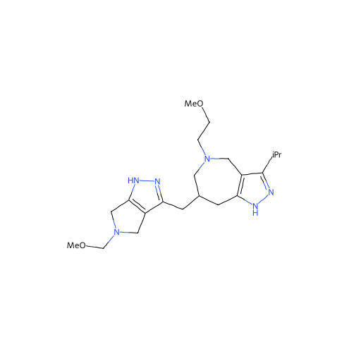 COCCN1Cc2c(C(C)C)n[nH]c2CC(Cc2n[nH]c3c2CN(COC)C3)C1